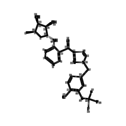 [CH2][C@@H]1C[C@@H](Nc2ncncc2C(=O)c2ccn(Cc3ccc(Cl)c(SC(F)(F)F)c3)n2)[C@H](O)[C@@H]1O